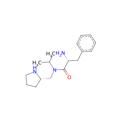 CC(C)N(C[C@@H]1CCCN1)C(=O)[C@H](N)Cc1ccccc1